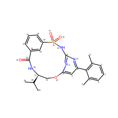 Cc1cccc(C)c1-c1cc2nc(n1)NS(=O)(=O)c1cccc(c1)C(=O)N[C@H](C(C)C)CO2